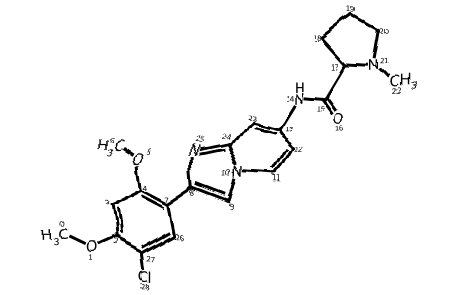 COc1cc(OC)c(-c2cn3ccc(NC(=O)C4CCCN4C)cc3n2)cc1Cl